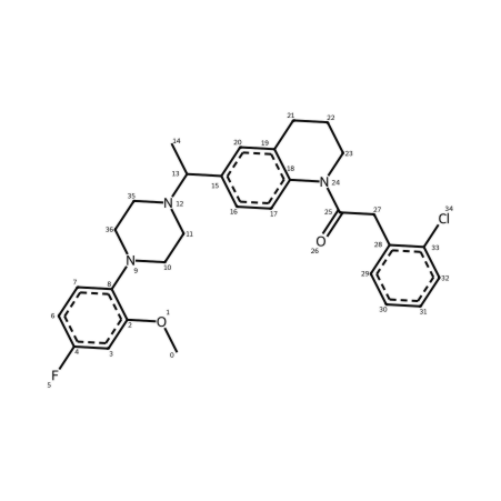 COc1cc(F)ccc1N1CCN(C(C)c2ccc3c(c2)CCCN3C(=O)Cc2ccccc2Cl)CC1